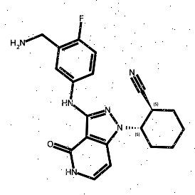 N#C[C@H]1CCCC[C@@H]1n1nc(Nc2ccc(F)c(CN)c2)c2c(=O)[nH]ccc21